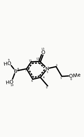 COCCn1c(C)cc(B(O)O)cc1=O